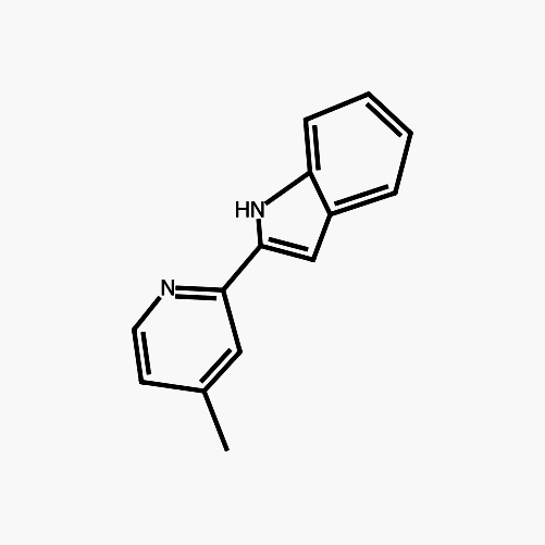 Cc1ccnc(-c2cc3ccccc3[nH]2)c1